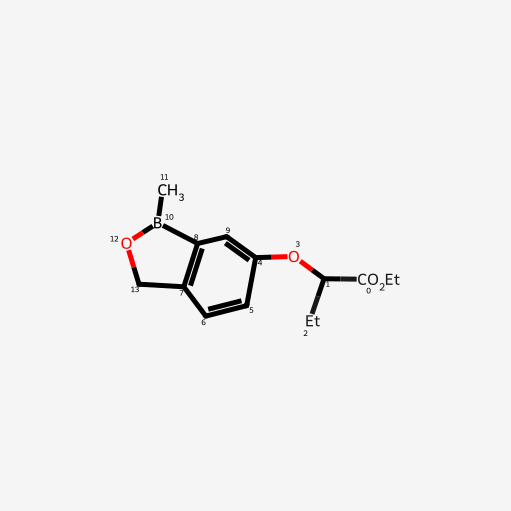 CCOC(=O)C(CC)Oc1ccc2c(c1)B(C)OC2